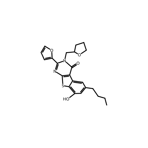 CCCCc1cc(O)c2sc3nc(-c4ccco4)n(CC4CCCO4)c(=O)c3c2c1